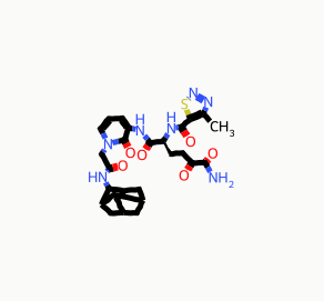 Cc1nnsc1C(=O)N[C@@H](CCC(=O)C(N)=O)C(=O)Nc1cccn(CC(=O)NC2C3CC4CC(C3)CC2C4)c1=O